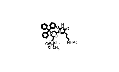 CC(=O)NCCCc1cn(C2CN(C(c3ccccc3)(c3ccccc3)c3ccccc3)CC(COP(=O)(Cl)N(C)C)O2)c(=O)[nH]c1=O